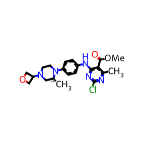 COC(=O)c1c(C)nc(Cl)nc1Nc1ccc(N2CCN(C3COC3)C[C@@H]2C)cc1